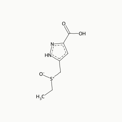 CC[S+]([O-])Cc1cc(C(=O)O)n[nH]1